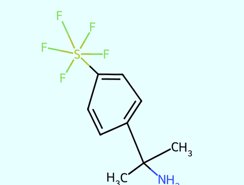 CC(C)(N)c1ccc(S(F)(F)(F)(F)F)cc1